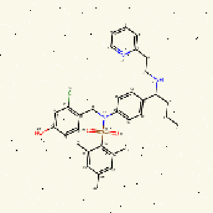 CCCC(NCCc1ccccn1)c1ccc(N(Cc2ccc(O)cc2Cl)S(=O)(=O)c2c(C)cc(C)cc2C)cc1